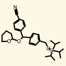 CC(C)[Si](OCc1ccc(C(OC2CCCCO2)c2ccc(C#N)cc2)cc1)(C(C)C)C(C)C